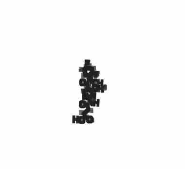 CN(C(=O)c1cnc(NC(=O)CCC(=O)O)nc1O)c1ccc(F)cc1F